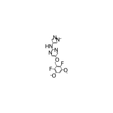 COc1cc(OC)c(F)c(COc2cnc(Nc3cnn(C)c3)nc2)c1F